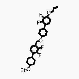 C=CCOc1ccc(-c2ccc(OCc3ccc(C4CCC(OCC)CC4)c(F)c3F)cc2)c(F)c1F